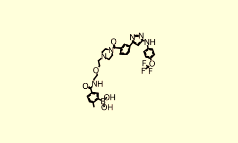 Cc1ccc(C(=O)NCCOCCN2CCN(C(=O)c3cccc(-c4cc(Nc5ccc(OC(F)(F)F)cc5)ncn4)c3)CC2)cc1B(O)O